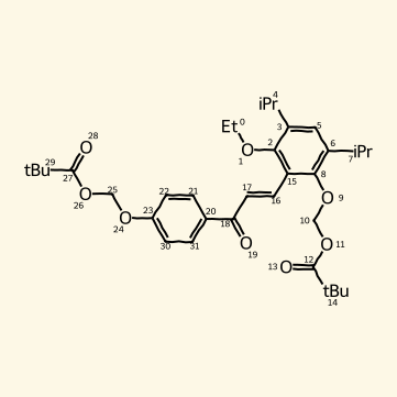 CCOc1c(C(C)C)cc(C(C)C)c(OCOC(=O)C(C)(C)C)c1C=CC(=O)c1ccc(OCOC(=O)C(C)(C)C)cc1